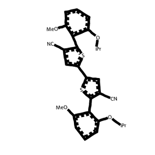 COc1cccc(OC(C)C)c1-c1sc(-c2cc(C#N)c(-c3c(OC)cccc3OC(C)C)s2)cc1C#N